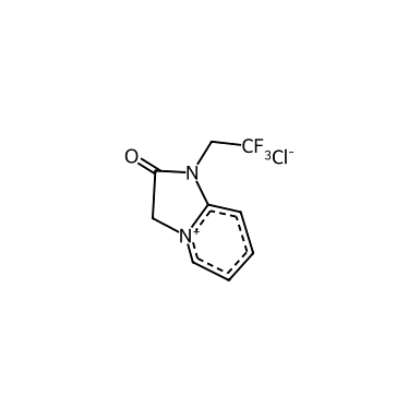 O=C1C[n+]2ccccc2N1CC(F)(F)F.[Cl-]